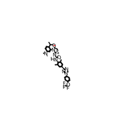 Cc1cc(-c2ncn(-c3ccc(OC(F)(F)F)cc3)n2)cc(C)c1NC(=O)N=C1SCC(=O)N1c1cc(N(C)C)ccc1C(C)C